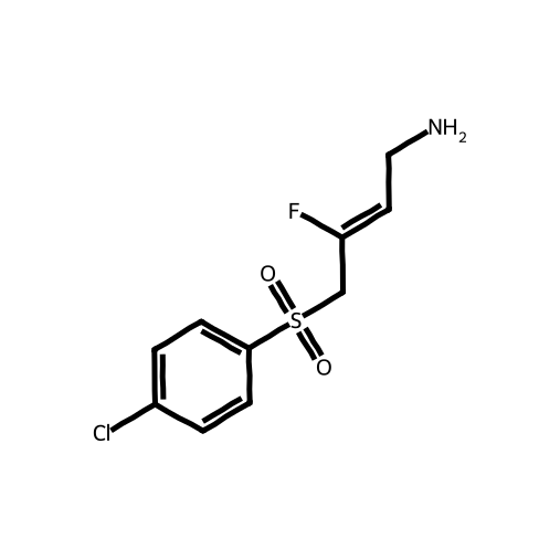 NC/C=C(\F)CS(=O)(=O)c1ccc(Cl)cc1